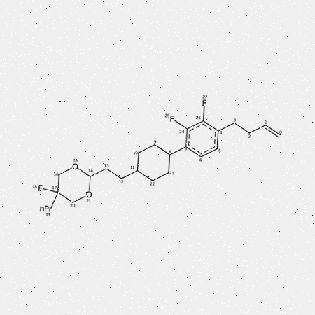 C=CCCc1ccc(C2CCC(CCC3OCC(F)(CCC)CO3)CC2)c(F)c1F